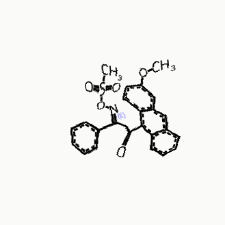 COc1ccc2c(C(=O)/C(=N/OS(C)(=O)=O)c3ccccc3)c3ccccc3cc2c1